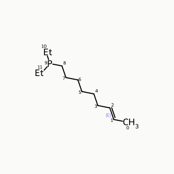 C/C=C/CCCCCCP(CC)CC